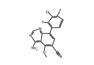 COc1c(C#N)cc(-c2ccc(F)c(Cl)c2F)c2ncnc(N)c12